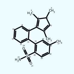 CC1=CC(C)C(C)=C1c1ccccc1-c1cc(C)ccc1S(N)(=O)=O